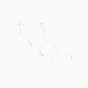 CCc1c(C#N)c(Cl)nc(N(C)CC(N)=O)c1C#N